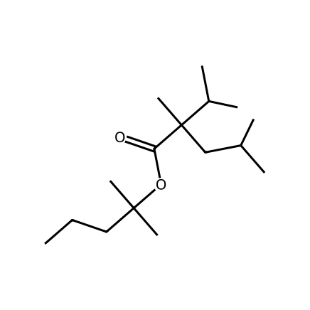 CCCC(C)(C)OC(=O)C(C)(CC(C)C)C(C)C